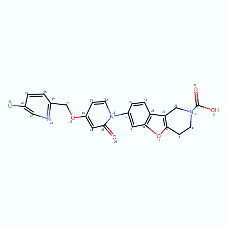 O=C(O)N1CCc2oc3cc(-n4ccc(OCc5ccc(Cl)cn5)cc4=O)ccc3c2C1